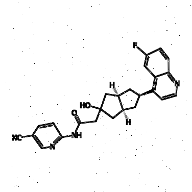 N#Cc1ccc(NC(=O)CC2(O)C[C@H]3C[C@@H](c4ccnc5ccc(F)cc45)C[C@H]3C2)nc1